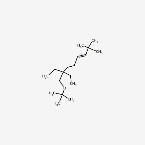 CCC(CC)(CC/C=C/C(C)(C)C)COC(C)(C)C